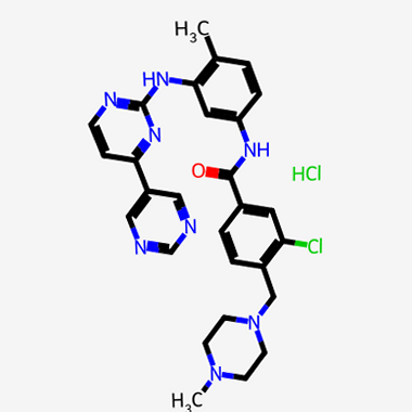 Cc1ccc(NC(=O)c2ccc(CN3CCN(C)CC3)c(Cl)c2)cc1Nc1nccc(-c2cncnc2)n1.Cl